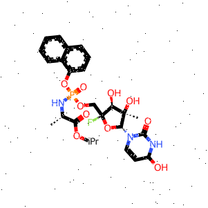 CC(C)OC(=O)[C@H](C)NP(=O)(OC[C@@]1(F)O[C@@H](N2C=CC(O)NC2=O)[C@](C)(O)[C@@H]1O)Oc1cccc2ccccc12